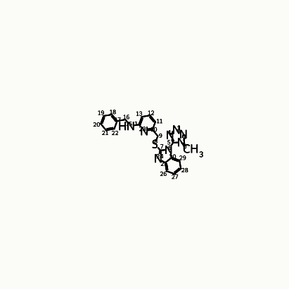 Cn1nnnc1-n1c(SCc2cccc(NCc3ccccc3)n2)nc2ccccc21